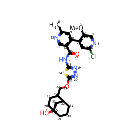 COc1cnc(Cl)cc1-c1cc(C)ncc1C(=O)Nc1nnc(OCC2CCC3(O)CCCC2C3)s1